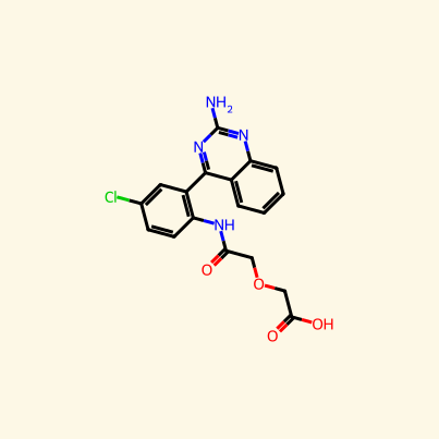 Nc1nc(-c2cc(Cl)ccc2NC(=O)COCC(=O)O)c2ccccc2n1